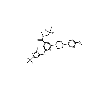 COc1ccc(N2CCN(c3cc(C(=O)N(C)CC(F)(F)F)cc(Nc4cc(C(C)(C)C)nn4C)n3)CC2)cc1